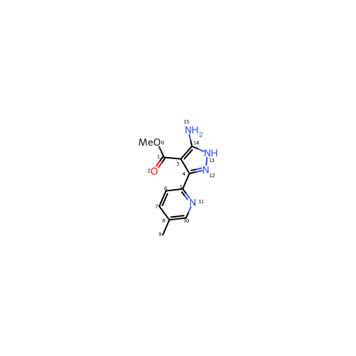 COC(=O)c1c(-c2ccc(C)cn2)n[nH]c1N